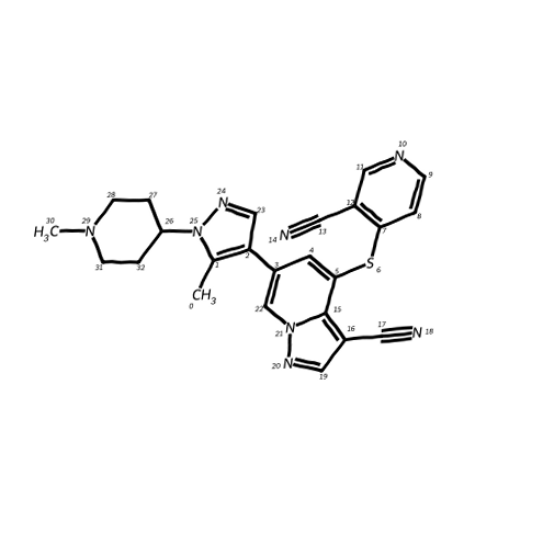 Cc1c(-c2cc(Sc3ccncc3C#N)c3c(C#N)cnn3c2)cnn1C1CCN(C)CC1